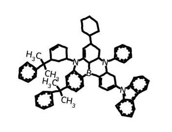 CC(C)(c1ccccc1)c1ccc2c(c1)N(C1CC=CC(C(C)(C)c3ccccc3)C1)C1=CC(C3CCCCC3)CC3C1B2C1=CC=C(n2c4ccccc4c4ccccc42)CC1N3c1ccccc1